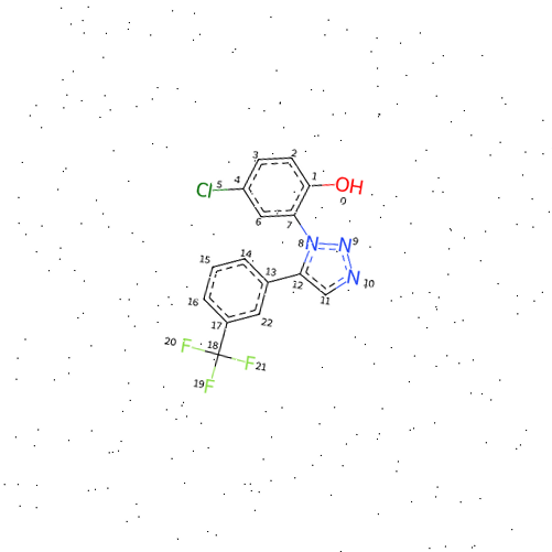 Oc1ccc(Cl)cc1-n1nncc1-c1cccc(C(F)(F)F)c1